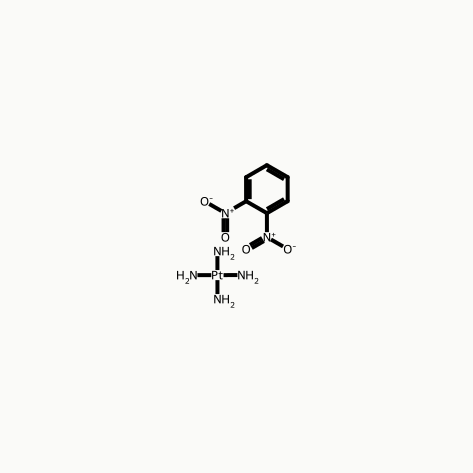 O=[N+]([O-])c1ccccc1[N+](=O)[O-].[NH2][Pt]([NH2])([NH2])[NH2]